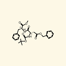 COC(=O)[C@H](Cc1ccccc1)NC(=O)[C@H](CC(=O)OCc1ccccc1)NC(=O)OC(C)(C)C